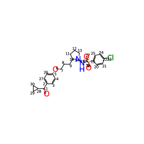 O=C(c1ccc(OCCCC2CCCN2NS(=O)(=O)c2ccc(Cl)cc2)cc1)C1CC1